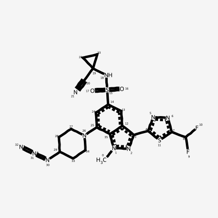 Cn1nc(-c2nnc(C(F)F)s2)c2cc(S(=O)(=O)NC3(C#N)CC3)cc(N3CCC(N=[N+]=[N-])CC3)c21